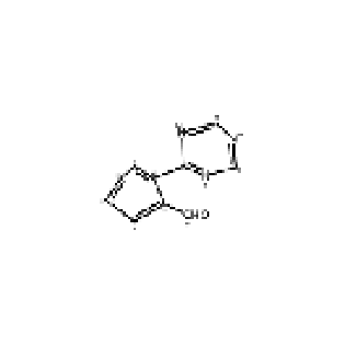 O=Cc1ccccc1-c1ncncn1